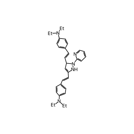 CCN(CC)c1ccc(C=CC2=CC(C=Cc3ccc(N(CC)CC)cc3)N(c3ccccn3)N2)cc1